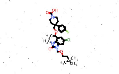 CC(OCC1(c2ccc(F)cc2)CCN(C(=O)O)CC1)c1cc(Cl)cc2c1n(C)c(=O)n2COCC[Si](C)(C)C